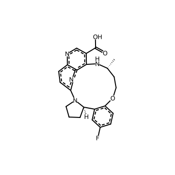 C[C@@H]1CCOc2ccc(F)cc2[C@H]2CCCN2c2ccc3ncc(C(=O)O)c(c3n2)N1